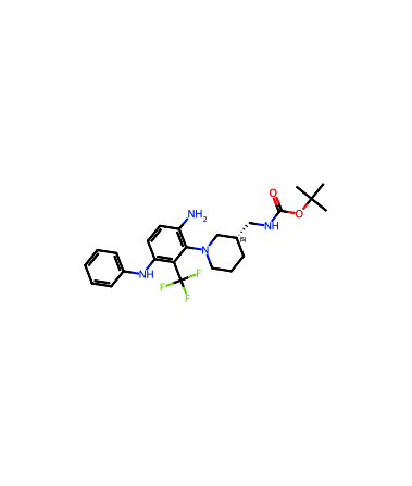 CC(C)(C)OC(=O)NC[C@@H]1CCCN(c2c(N)ccc(Nc3ccccc3)c2C(F)(F)F)C1